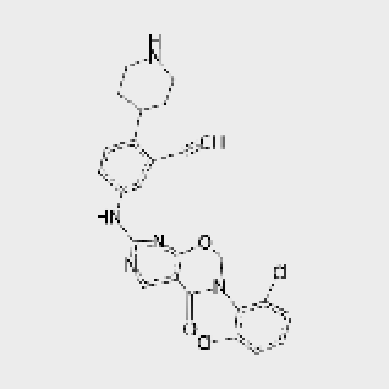 C#Cc1cc(Nc2ncc3c(n2)OCN(c2c(Cl)cccc2Cl)C3=O)ccc1C1CCNCC1